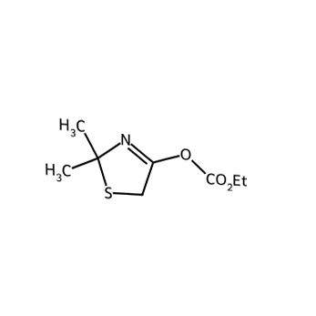 CCOC(=O)OC1=NC(C)(C)SC1